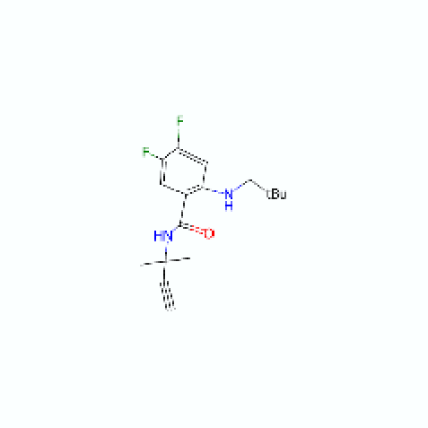 C#CC(C)(C)NC(=O)c1cc(F)c(F)cc1NCC(C)(C)C